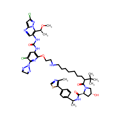 CO[C@@H](C)c1c(NC(=O)Nc2cc(Cl)c(-n3nccn3)nc2OCCNCCCCCCCC(C(=O)N2C[C@H](O)C[C@H]2C(=O)N[C@@H](C)c2ccc(-c3scnc3C)cc2)C(C)(C)C)cnc2cc(Cl)nn12